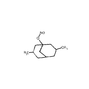 CC1CC2CC(C)CC(ON=O)(C1)C2